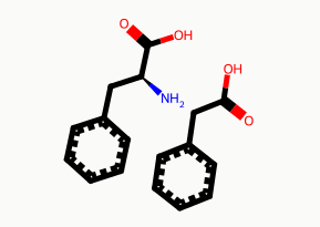 N[C@@H](Cc1ccccc1)C(=O)O.O=C(O)Cc1ccccc1